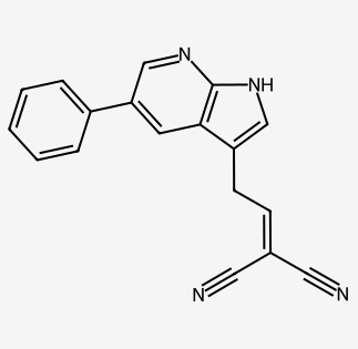 N#CC(C#N)=CCc1c[nH]c2ncc(-c3ccccc3)cc12